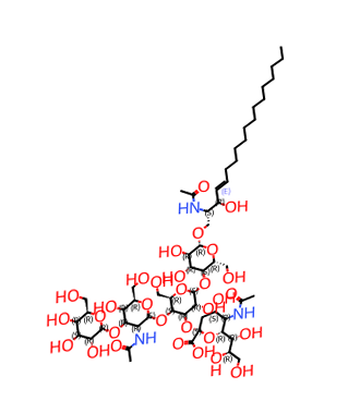 CCCCCCCCCCCCC/C=C/[C@@H](O)[C@H](CO[C@@H]1O[C@H](CO)[C@@H](O[C@@H]2O[C@H](CO)[C@H](O[C@@H]3O[C@H](CO)[C@H](O)[C@H](O[C@@H]4O[C@H](CO)[C@H](O)[C@H](O)[C@H]4O)[C@H]3NC(C)=O)[C@H](O[C@]3(C(=O)O)C[C@H](O)[C@@H](NC(C)=O)[C@H]([C@H](O)[C@H](O)CO)O3)[C@H]2O)[C@H](O)[C@H]1O)NC(C)=O